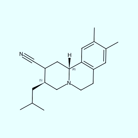 Cc1cc2c(cc1C)[C@H]1CC(C#N)[C@H](CC(C)C)CN1CC2